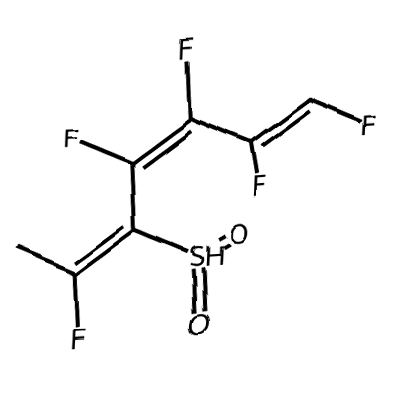 C\C(F)=C(/C(F)=C(F)\C(F)=C\F)[SH](=O)=O